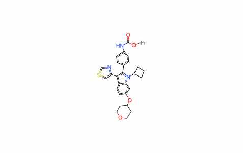 CC(C)OC(=O)Nc1ccc(-c2c(-c3cscn3)c3ccc(OC4CCOCC4)cc3n2C2CCC2)cc1